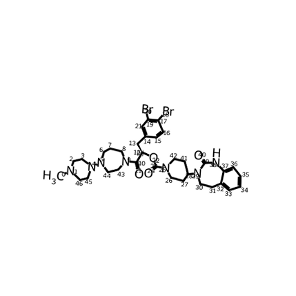 CN1CCN(N2CCCN(C(=O)[C@@H](Cc3ccc(Br)c(Br)c3)OC(=O)N3CCC(N4CCc5ccccc5NC4=O)CC3)CC2)CC1